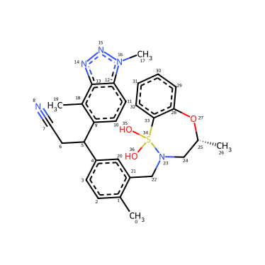 Cc1ccc(C(CC#N)c2ccc3c(nnn3C)c2C)cc1CN1C[C@@H](C)Oc2ccccc2S1(O)O